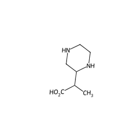 CC(C(=O)O)C1CNCCN1